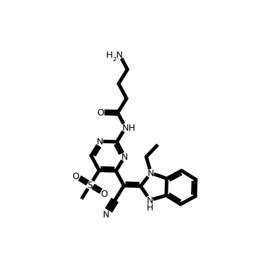 CCN1C(=C(C#N)c2nc(NC(=O)CCCN)ncc2S(C)(=O)=O)Nc2ccccc21